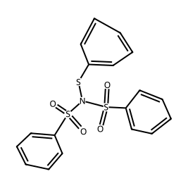 O=S(=O)(c1ccccc1)N(Sc1ccccc1)S(=O)(=O)c1ccccc1